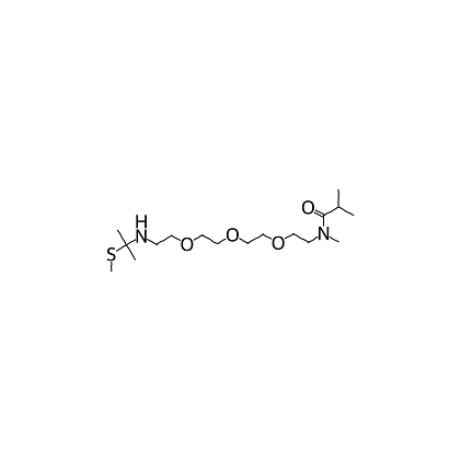 CSC(C)(C)NCCOCCOCCOCCN(C)C(=O)C(C)C